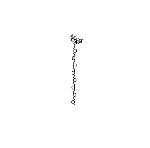 COCCOCCOCCOCCOCCOCCOCCOCCC[Si](C)(O[Si](C)(C)C)O[Si](C)(C)C